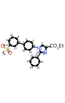 CCOC(=O)c1cn(-c2ccc(-c3cccc(S(C)(=O)=O)c3)cc2)c(-c2ccccc2)n1